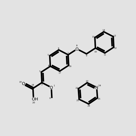 CO/C(=C\c1ccc(OCc2ccccc2)cc1)C(=O)O.c1ccncc1